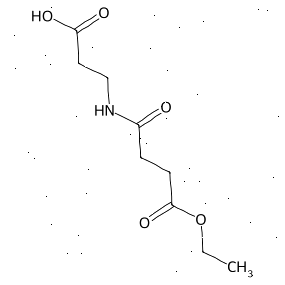 CCOC(=O)CCC(=O)NCCC(=O)O